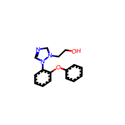 OCCN1CN=CN1c1ccccc1Oc1ccccc1